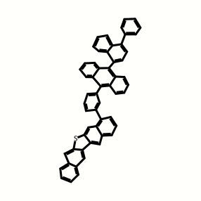 c1ccc(-c2ccc(-c3c4ccccc4c(-c4cccc(-c5cccc6cc7c(cc56)sc5cc6ccccc6cc57)c4)c4ccccc34)c3ccccc23)cc1